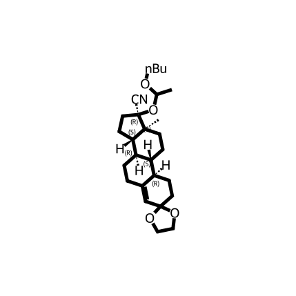 CCCCOC(C)O[C@]1(C#N)CC[C@H]2[C@@H]3CCC4=CC5(CC[C@@H]4[C@H]3CC[C@@]21C)OCCO5